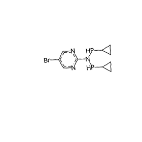 Brc1cnc(N(PC2CC2)PC2CC2)nc1